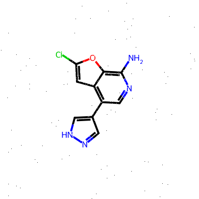 Nc1ncc(-c2cn[nH]c2)c2cc(Cl)oc12